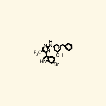 O[C@@H]1C[C@H](Nc2ncc(C(F)(F)F)c(-c3c[nH]c4cc(Br)ccc34)n2)CN(Cc2ccccc2)C1